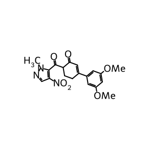 COc1cc(OC)cc(C2=CC(=O)C(C(=O)c3c([N+](=O)[O-])cnn3C)CC2)c1